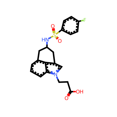 O=C(O)CCn1cc2c3c(cccc31)CC(NS(=O)(=O)c1ccc(F)cc1)C2